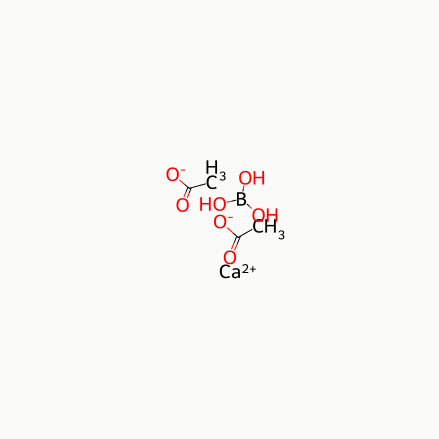 CC(=O)[O-].CC(=O)[O-].OB(O)O.[Ca+2]